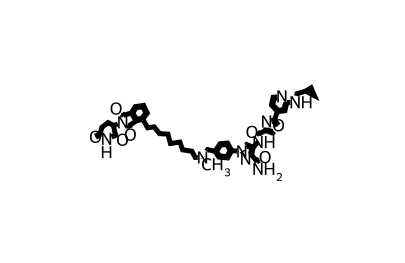 CN(CCCCCCCCCc1cccc2c1C(=O)N(C1CCC(=O)NC1=O)C2=O)Cc1ccc(-n2cc(NC(=O)c3coc(-c4ccnc(NCC5CC5)c4)n3)c(C(N)=O)n2)cc1